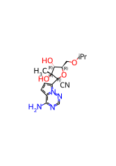 CC(C)OC[C@H]1O[C@@](C#N)(c2ccc3c(N)ncnn23)[C@](C)(O)[C@@H]1O